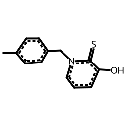 Cc1ccc(Cn2cccc(O)c2=S)cc1